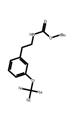 [2H]C([2H])([2H])Oc1cccc(CCNC(=O)OC(C)(C)C)c1